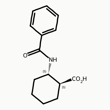 O=C(N[C@H]1CCCC[C@@H]1C(=O)O)c1ccccc1